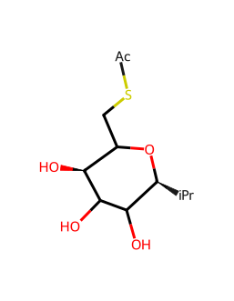 CC(=O)SCC1O[C@@H](C(C)C)C(O)C(O)[C@H]1O